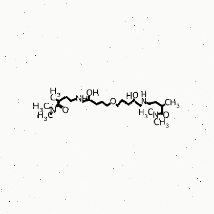 CC(CCNCC(O)CCCOCCCC(O)CNCCC(C)C(=O)N(C)C)C(=O)N(C)C